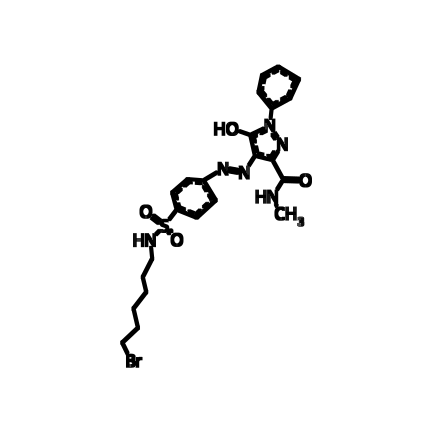 CNC(=O)c1nn(-c2ccccc2)c(O)c1N=Nc1ccc(S(=O)(=O)NCCCCCCBr)cc1